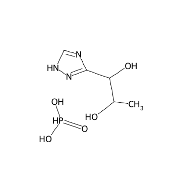 CC(O)C(O)c1nc[nH]n1.O=[PH](O)O